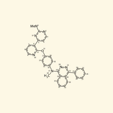 CNc1nccc(-c2cccnc2Oc2ccc(N(C)c3nnc(-c4ccccc4)c4ccccc34)cc2)n1